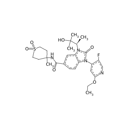 CCOc1cc(-n2c(=O)n([C@H](C)C(C)(C)O)c3cc(C(=O)NC4(C)CCS(=O)(=O)CC4)ccc32)c(F)cn1